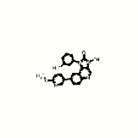 COc1ccc(-c2ccc3ncc4c(c3c2)n(-c2cccc(C)c2)c(=O)n4C)cn1